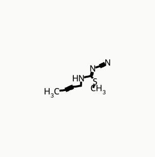 CC#CCN/C(=N/C#N)SC